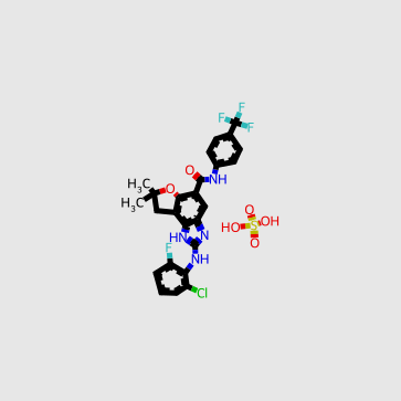 CC1(C)Cc2c(c(C(=O)Nc3ccc(C(F)(F)F)cc3)cc3nc(Nc4c(F)cccc4Cl)[nH]c23)O1.O=S(=O)(O)O